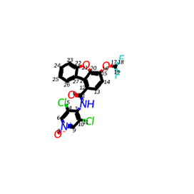 O=C(Nc1c(Cl)c[n+]([O-])cc1Cl)c1ccc(OC(F)F)c2oc3ccccc3c12